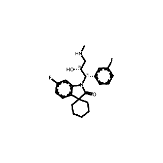 CNC[C@@H](O)[C@H](c1cccc(F)c1)N1C(=O)C2(CCCCC2)c2ccc(F)cc21